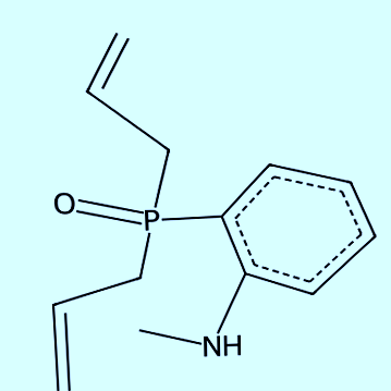 C=CCP(=O)(CC=C)c1ccccc1NC